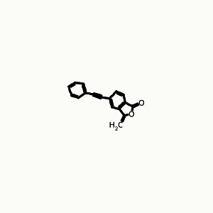 C=C1OC(=O)c2ccc(C#Cc3ccccc3)cc21